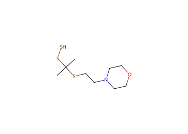 CC(C)(SS)SCCN1CCOCC1